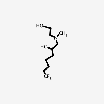 CN(CCO)CC(O)CCCCC(F)(F)F